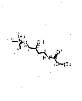 CC(C)(C)OC(=O)NCCC(O)CO[Si](C)(C)C(C)(C)C